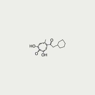 Cc1cc(O)c(=O)c(O)cc1C(=O)CC1CCCCC1